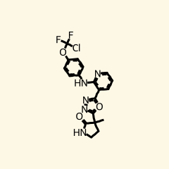 CC1(c2nnc(-c3cccnc3Nc3ccc(OC(F)(F)Cl)cc3)o2)CCNC1=O